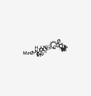 CCOc1c(C(=O)NCCOC)ccc2c1=CCC(CCC1CCCCC(C(=O)c3ccc(S(F)(F)(F)(F)F)cc3)CCC1)N=2